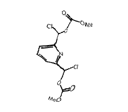 COC(=O)OC(Cl)c1cccc(C(Cl)OC(=O)OC)n1